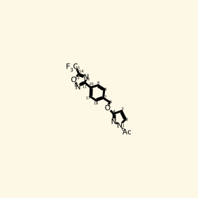 CC(=O)n1ccc(OCc2ccc(-c3noc(C(F)(F)F)n3)cc2)n1